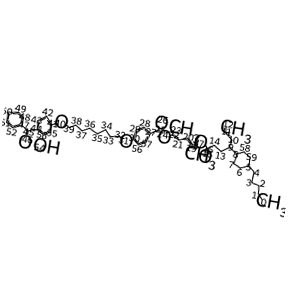 CCCCCC1CCC(C(CCC)CCC(=O)O/C(C)=C/C=C(\C)OC(=O)c2ccc(OCCCCCCCCOc3ccc(C(=O)c4ccccc4)c(O)c3)cc2)CC1